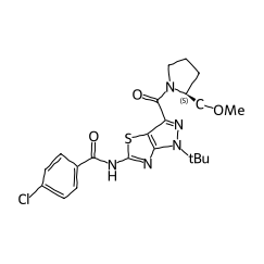 COC[C@@H]1CCCN1C(=O)c1nn(C(C)(C)C)c2nc(NC(=O)c3ccc(Cl)cc3)sc12